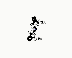 CC(C)(C)OC(=O)C1C2C=CC(C2)C1C(=O)OC(=O)/C=C\C(=O)OC(=O)C1C2C=CC(C2)C1C(=O)OC(C)(C)C